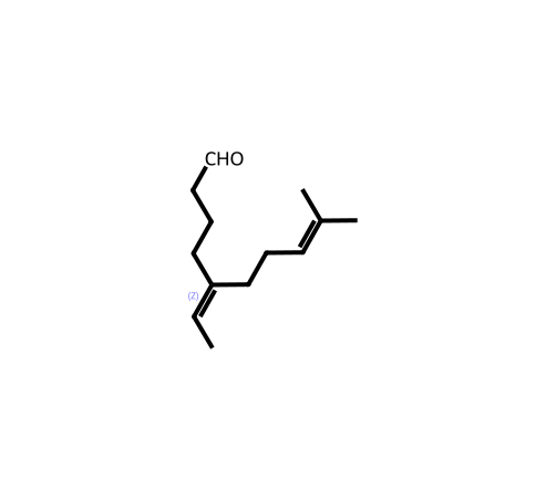 C/C=C(\CCC=C(C)C)CCCC=O